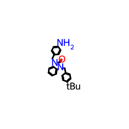 CC(C)(C)c1ccc(Cn2c(=O)n(Cc3ccc(N)cc3)c3ccccc32)cc1